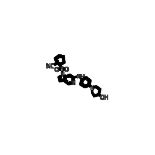 N#Cc1ccccc1S(=O)(=O)n1ccc2cnc(Nc3ccc(N4CCC(O)CC4)cc3)cc21